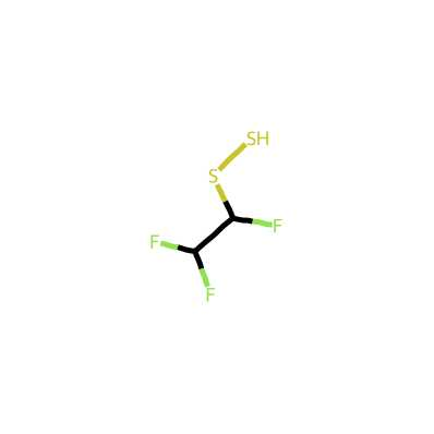 FC(F)C(F)SS